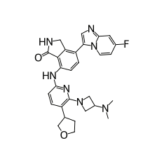 CN(C)C1CN(c2nc(Nc3ccc(-c4cnc5cc(F)ccn45)c4c3C(=O)NC4)ccc2C2CCOC2)C1